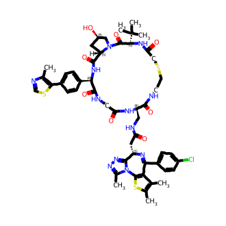 Cc1ncsc1-c1ccc([C@H]2NC(=O)[C@@H]3C[C@@H](O)CN3C(=O)[C@H](C(C)(C)C)NC(=O)CSCCNC(=O)[C@@H](CNC(=O)C[C@@H]3N=C(c4ccc(Cl)cc4)c4c(sc(C)c4C)-n4c(C)nnc43)NC(=O)CNC2=O)cc1